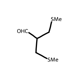 CSCC(C=O)CSC